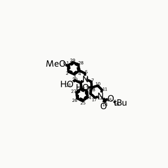 COc1ccc(CN(CC2(O)CCN(C(=O)OC(C)(C)C)CC2)C(CO)c2ccccc2)cc1